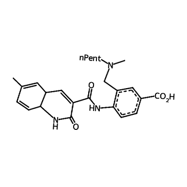 CCCCCN(C)Cc1cc(C(=O)O)ccc1NC(=O)C1=CC2C=C(C)C=CC2NC1=O